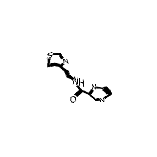 O=C(NCc1cscn1)c1cnccn1